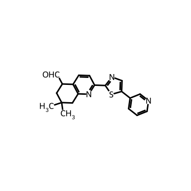 CC1(C)Cc2nc(-c3ncc(-c4cccnc4)s3)ccc2C(C=O)C1